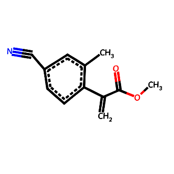 C=C(C(=O)OC)c1ccc(C#N)cc1C